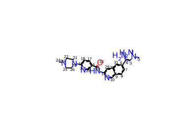 CN(N)/C=C(\N)c1ccc2cnc(NC(=O)c3ccc(N4CCN(C)CC4)nc3)cc2c1